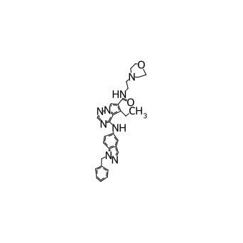 CCc1c(C(=O)NCCN2CCOCC2)cn2ncnc(Nc3ccc4c(cnn4Cc4ccccc4)c3)c12